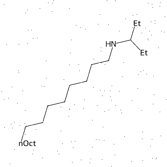 CCCCCCCCCCCCCCCCNC(CC)CC